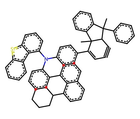 CC12C(c3ccc(N(c4ccccc4-c4cccc5cccc(C6CCCCC6)c45)c4cccc5sc6ccccc6c45)cc3)=CC#CC1C(C)(c1ccccc1)c1ccccc12